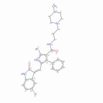 CC(C)c1[nH]c(/C=C2\C(=O)Nc3ccc(Br)cc32)c(-c2ccccc2)c1C(=O)NCCCN1CCN(C)CC1